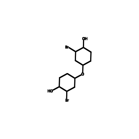 OC1CCC(OC2CCC(O)C(Br)C2)CC1Br